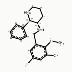 COc1c(Cl)cc(F)cc1CN[C@@H]1CCCN[C@@H]1c1ccccc1